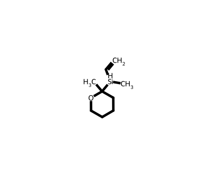 C=C[SiH](C)C1(C)CCCCO1